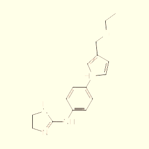 CCOCC1=C[SH](c2ccc(NC3=NCCN3)cc2)C=C1